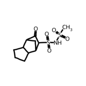 CS(=O)(=O)NS(=O)(=O)C1C(=O)C2CC1C1CCCC21